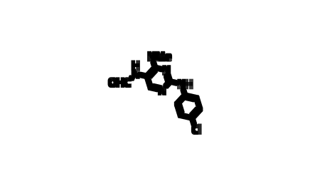 CNc1nc(Nc2ccc(Cl)cc2)ncc1NC=O